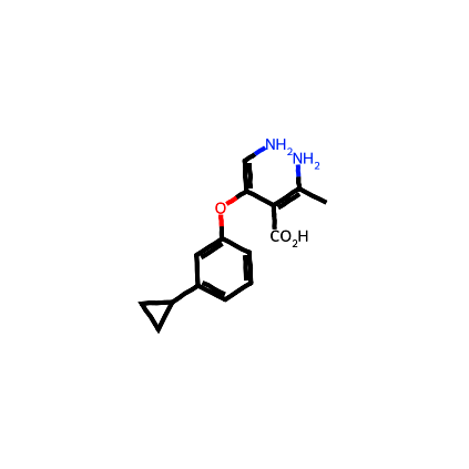 C/C(N)=C(C(=O)O)/C(=C\N)Oc1cccc(C2CC2)c1